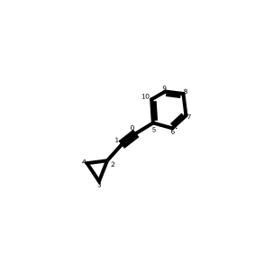 C(#CC1CC1)c1[c]cccc1